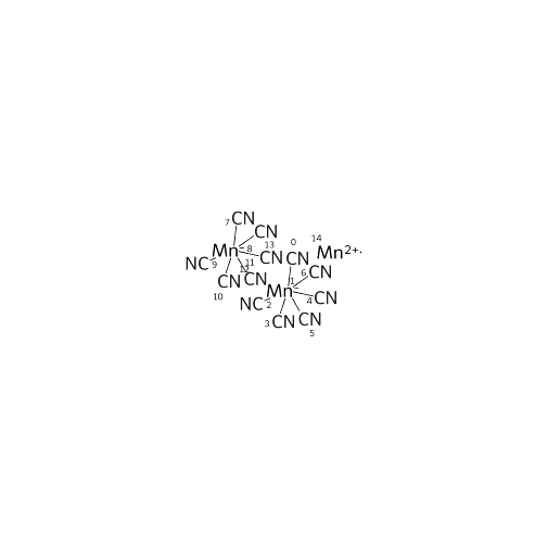 N#[C][Mn-]([C]#N)([C]#N)([C]#N)([C]#N)[C]#N.N#[C][Mn-]([C]#N)([C]#N)([C]#N)([C]#N)[C]#N.[Mn+2]